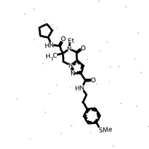 CCN1C(=O)c2cc(C(=O)NCCc3ccc(SC)cc3)nn2CC1(C)C(=O)NC1CCCC1